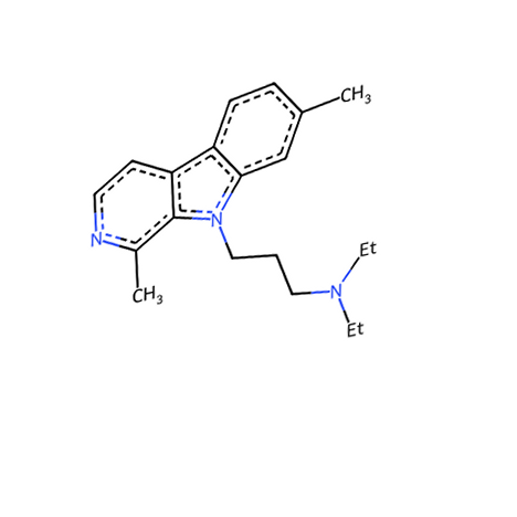 CCN(CC)CCCn1c2cc(C)ccc2c2ccnc(C)c21